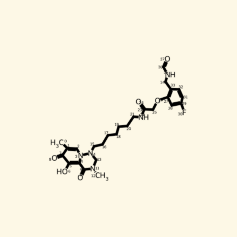 Cc1cn2c(c(O)c1=O)C(=O)N(C)CN2CCCCCCCNC(=O)COc1cc(F)ccc1CNC=O